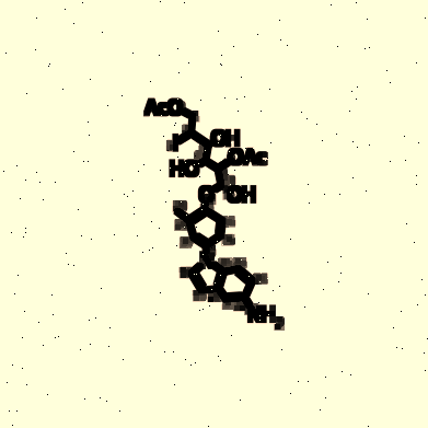 CC(=O)OCC(I)[C@@H](O)C(O)C(OC(C)=O)[C@H](O)Oc1ccc(-n2ccc3cc(N)ccc32)cc1C